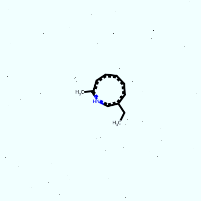 CCc1cccccc(C)[nH]c1